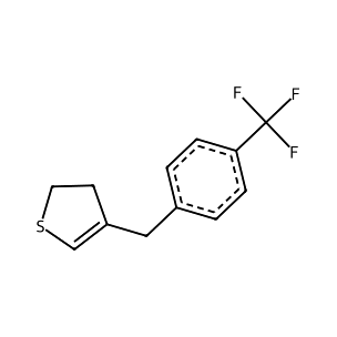 FC(F)(F)c1ccc(CC2=CSCC2)cc1